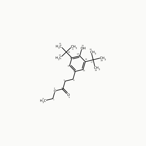 CCOC(=O)CCc1cc(C(C)(C)C)c(O)c(C(C)(C)C)c1